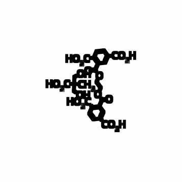 CC(CO)(CO)C(=O)O.O=C(O)c1ccc(C(=O)O)c(C(=O)OCCOC(=O)c2cc(C(=O)O)ccc2C(=O)O)c1